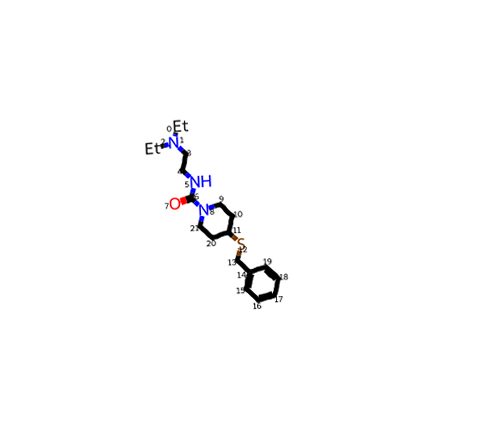 CCN(CC)CCNC(=O)N1CCC(SCc2ccccc2)CC1